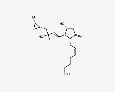 CC[C@H]1C[C@H]1CC(C)(O)/C=C/[C@H]1[C@H](O)CC(=O)[C@@H]1C/C=C\CCCC(=O)O